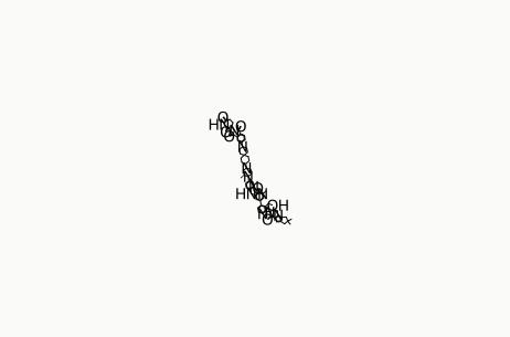 C[C@H]1CN(C2CCC3(CC2)CCN(c2ccc4c(c2)C(=O)N(C2CCC(=O)NC2=O)C4=O)CC3)CCN1c1ccc(Nc2cc(-c3ccnc(N4CCn5c(cc6c5CC(C)(C)C6)C4=O)c3CO)cn(C)c2=O)nc1